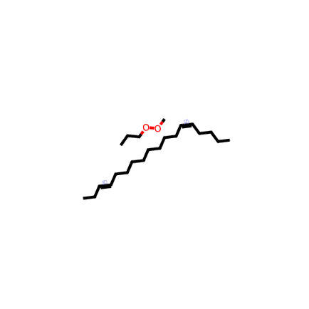 CC/C=C/CCCCCCCC/C=C\CCCC.CCCOOC